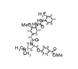 COC(=O)c1ccc(OC[C@H]2C[C@H](N(C)C)CN2C(=O)Cc2ccc(NC(=O)Nc3ccccc3C)c(OC)c2)cc1